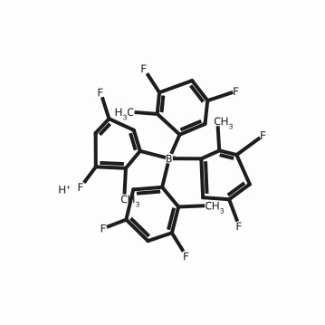 Cc1c(F)cc(F)cc1[B-](c1cc(F)cc(F)c1C)(c1cc(F)cc(F)c1C)c1cc(F)cc(F)c1C.[H+]